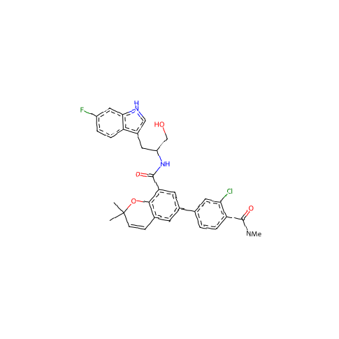 CNC(=O)c1ccc(-c2cc3c(c(C(=O)NC(CO)Cc4c[nH]c5cc(F)ccc45)c2)OC(C)(C)C=C3)cc1Cl